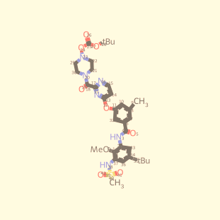 COc1c(NC(=O)c2cc(C)cc(Oc3ccnc(C(=O)N4CCN(OC(=O)OC(C)(C)C)CC4)n3)c2)cc(C(C)(C)C)cc1NS(C)(=O)=O